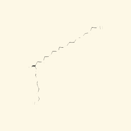 O=C(CSCSCSCSCCOOCSCS)OCSCCSCO